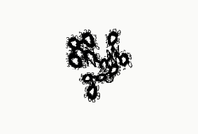 c1ccc(-c2nc(-c3ccccc3)nc(-c3cc(-c4ccc(-c5c(-c6ccccc6)cccc5-c5ccccc5)cn4)cnc3-c3cccc4oc5cc6c(cc5c34)c3ccccc3n6-c3ccccc3)n2)cc1